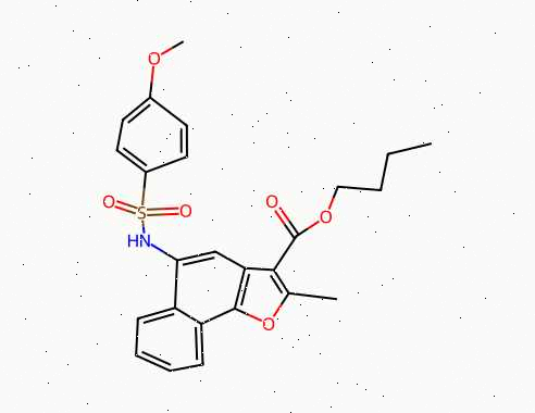 CCCCOC(=O)c1c(C)oc2c1cc(NS(=O)(=O)c1ccc(OC)cc1)c1ccccc12